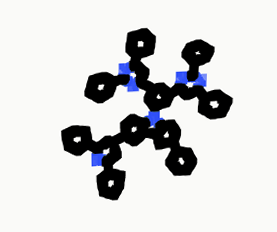 c1ccc(-c2ccc3c(c2)c2cc(-c4cc(-c5ccccc5)nc(-c5ccccc5)c4)ccc2n3-c2cc(-c3cc(-c4ccccc4)nc(-c4ccccc4)n3)cc(-c3cc(-c4ccccc4)nc(-c4ccccc4)n3)c2)cc1